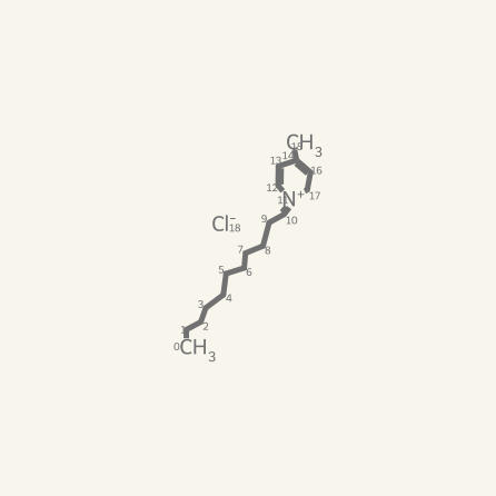 CCCCCCCCCCC=[N+]1C=CC(C)=CC1.[Cl-]